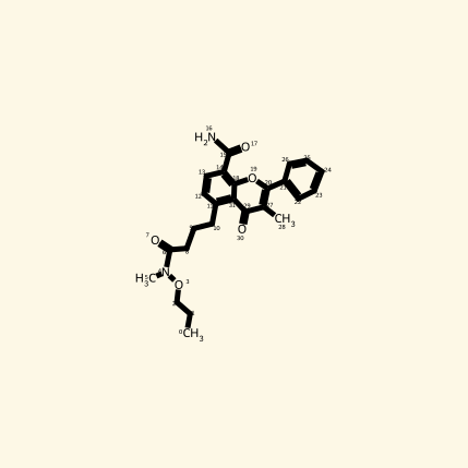 CCCON(C)C(=O)CCCc1ccc(C(N)=O)c2oc(-c3ccccc3)c(C)c(=O)c12